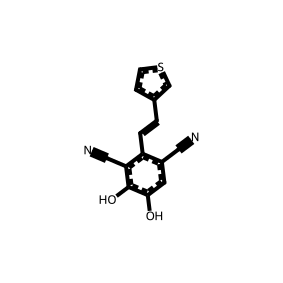 N#Cc1cc(O)c(O)c(C#N)c1C=Cc1ccsc1